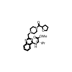 COC(=O)[C@@H](Nc1nc(CN2CCN(C(=O)C3CCCO3)CC2)nc2ccccc12)C(C)C